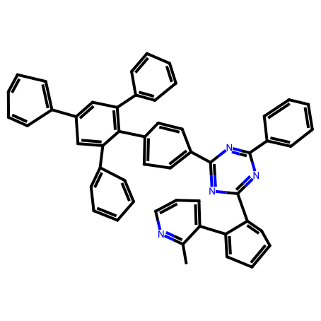 Cc1ncccc1-c1ccccc1-c1nc(-c2ccccc2)nc(-c2ccc(-c3c(-c4ccccc4)cc(-c4ccccc4)cc3-c3ccccc3)cc2)n1